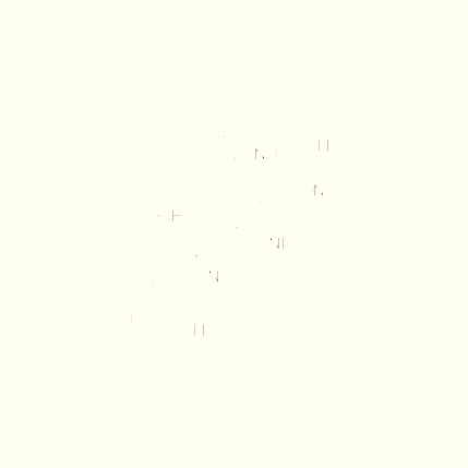 CC1NC=C(NC(=O)CN2CC(CO)OC(C)(C)C2)C=C1NC=O